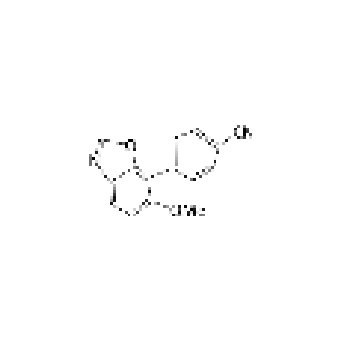 COc1ccc2ncoc2c1-c1ccc(C#N)cc1